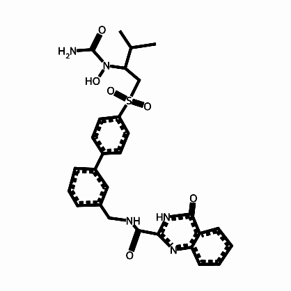 CC(C)C(CS(=O)(=O)c1ccc(-c2cccc(CNC(=O)c3nc4ccccc4c(=O)[nH]3)c2)cc1)N(O)C(N)=O